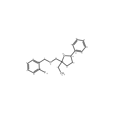 CCC1(COCc2ccccc2F)CCC(c2ccccc2)O1